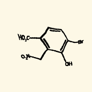 O=C(O)c1ccc(Br)c(O)c1C[N+](=O)[O-]